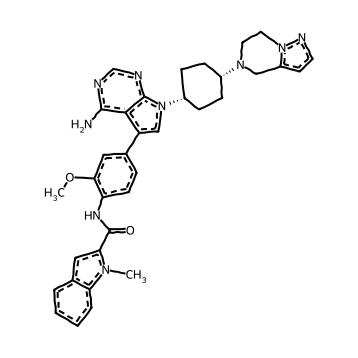 COc1cc(-c2cn([C@H]3CC[C@@H](N4CCn5nccc5C4)CC3)c3ncnc(N)c23)ccc1NC(=O)c1cc2ccccc2n1C